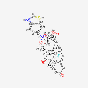 C[C@]12C=CC(=O)C=C1CC[C@H]1[C@@H]3C[C@H]4CN(c5ccc6ncsc6c5)O[C@@]4(C(=O)CO)[C@@]3(C)C[C@H](O)[C@@]12F